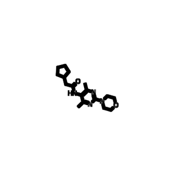 Cc1nc(N2CCOCC2)nc(C)c1NC(=O)CC1CCCC1